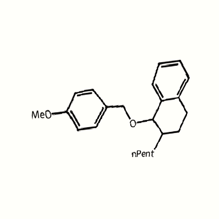 CCCCCC1CCc2ccccc2C1OCc1ccc(OC)cc1